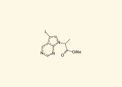 COC(=O)C(C)n1cc(I)c2cncnc21